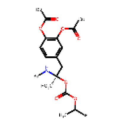 CCC(C)N[C@@](Cc1ccc(OC(=O)C(C)CC)c(OC(=O)C(C)CC)c1)(OC(=O)OC(C)C(C)C)C(=O)O